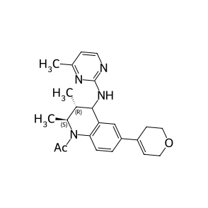 CC(=O)N1c2ccc(C3=CCOCC3)cc2C(Nc2nccc(C)n2)[C@@H](C)[C@@H]1C